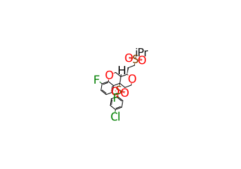 CC(C)S(=O)(=O)CC[C@H]1OCCC2(S(=O)(=O)c3ccc(Cl)cc3)c3c(F)ccc(F)c3OC[C@H]12